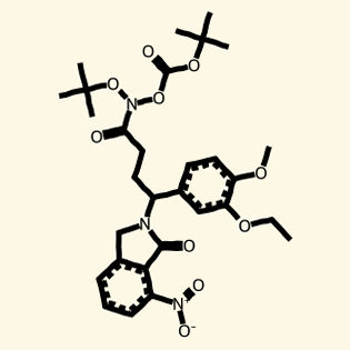 CCOc1cc(C(CCC(=O)N(OC(=O)OC(C)(C)C)OC(C)(C)C)N2Cc3cccc([N+](=O)[O-])c3C2=O)ccc1OC